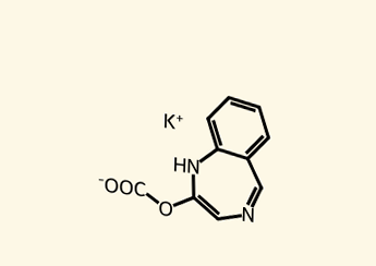 O=C([O-])OC1=CN=Cc2ccccc2N1.[K+]